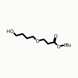 CC(C)(C)OC(=O)CCOCCCCO